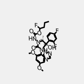 CCCC(F)OC(=O)NN(C(=O)Nc1ccc(OC)cc1OC)[C@H](C)[C@](O)(Cn1cncn1)c1ccc(F)cc1F